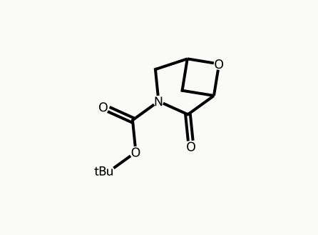 CC(C)(C)OC(=O)N1CC2CC(O2)C1=O